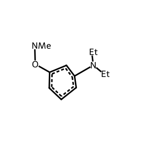 CCN(CC)c1cccc(ONC)c1